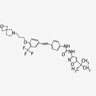 CC(C)(C)c1cc(NC(=O)Nc2ccc(C#Cc3ccc(OCCCN4CCC5(COC5)C4)c(C(F)(F)F)c3)cc2)no1